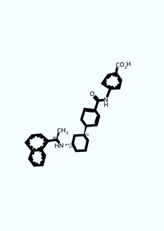 C[C@@H](N[C@H]1CCC[C@H](C2C=CC(C(=O)Nc3ccc(C(=O)O)cc3)=CC2)C1)c1cccc2ccccc12